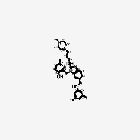 Cc1cc(C)cc(NCc2ccc3nc(NCCCN4CCN(C)CC4)n(Cc4nc(C)ccc4O)c3c2)c1